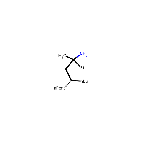 CCCCC[C@@H](CCCC)CC(C)(N)CC